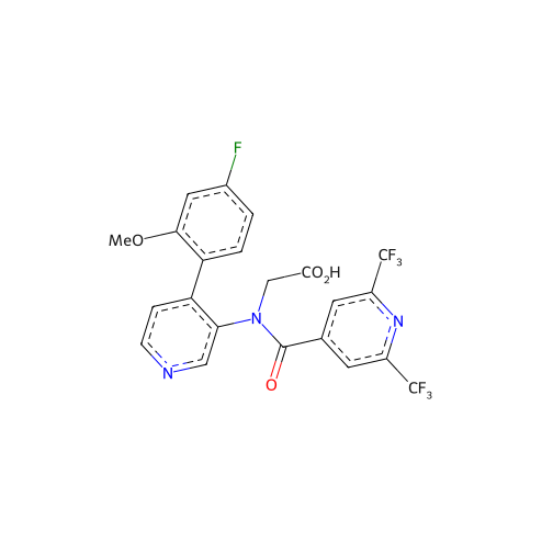 COc1cc(F)ccc1-c1ccncc1N(CC(=O)O)C(=O)c1cc(C(F)(F)F)nc(C(F)(F)F)c1